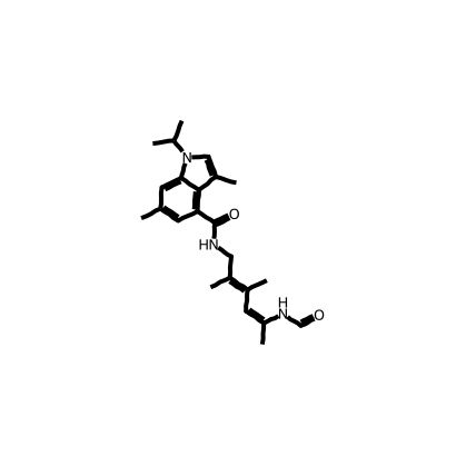 C/C(=C/C(C)=C(\C)CNC(=O)c1cc(C)cc2c1c(C)cn2C(C)C)NC=O